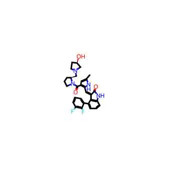 Cc1cc(C(=O)N2CCC[C@H]2CN2CC[C@@H](O)C2)c(/C=C2\C(=O)Nc3cccc(-c4cccc(F)c4F)c32)[nH]1